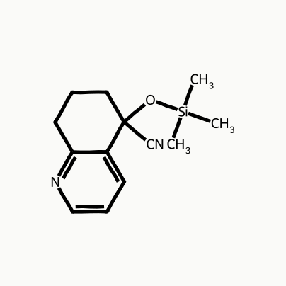 C[Si](C)(C)OC1(C#N)CCCc2ncccc21